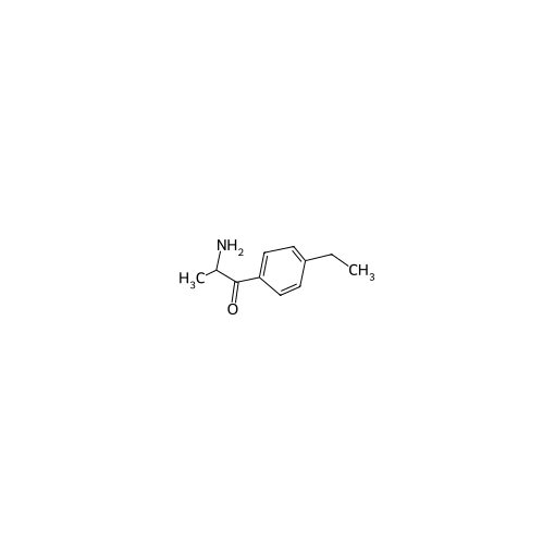 CCc1ccc(C(=O)C(C)N)cc1